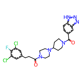 O=C(CCc1cc(Cl)c(F)c(Cl)c1)N1CCN(C2CCN(C(=O)c3ccc4[nH]nnc4c3)CC2)CC1